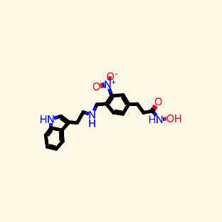 O=C(CCc1ccc(CNCCc2c[nH]c3ccccc23)c([N+](=O)[O-])c1)NO